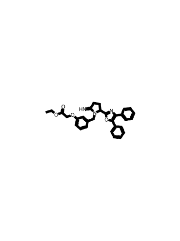 CCOC(=O)COc1cccc(CN2C(=N)CCC2c2nc(-c3ccccc3)c(-c3ccccc3)o2)c1